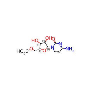 Nc1ccn([C@@H]2O[C@H](COC(=O)O)[C@@H](O)[C@H]2O)c(=O)n1